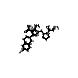 C=CC(=O)N1CCC[C@H]1Cn1nc(C2CCc3cc(F)ccc3C2)c(C(N)=O)c1N